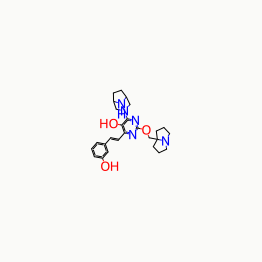 Oc1cccc(/C=C/c2nc(OCC34CCCN3CCC4)nc(N3CC4CCC(C3)N4)c2O)c1